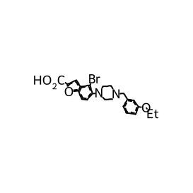 CCOc1cccc(CN2CCN(c3ccc4oc(C(=O)O)cc4c3Br)CC2)c1